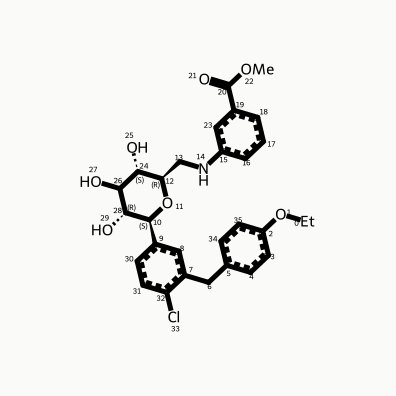 CCOc1ccc(Cc2cc([C@@H]3O[C@H](CNc4cccc(C(=O)OC)c4)[C@@H](O)C(O)[C@H]3O)ccc2Cl)cc1